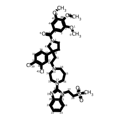 COc1cc(C(=O)N2CCC(CCN3CCCN(c4nc5ccccc5n4CCS(C)(=O)=O)CC3)(c3ccc(Cl)c(Cl)c3)C2)cc(OC)c1OC